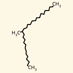 CCCCCCCCCCCCCCCC(C)CCCCCCCCCCCCC